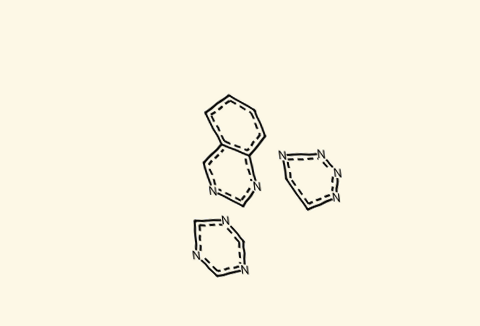 c1ccc2ncncc2c1.c1cnnnn1.c1ncncn1